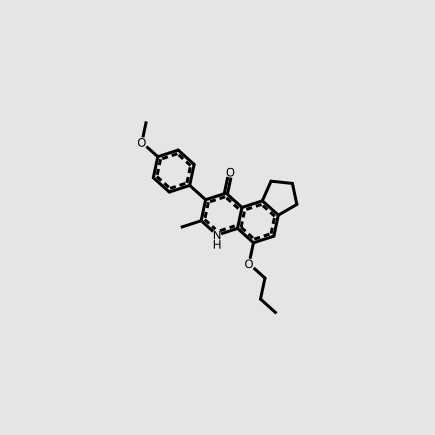 CCCOc1cc2c(c3c(=O)c(-c4ccc(OC)cc4)c(C)[nH]c13)CCC2